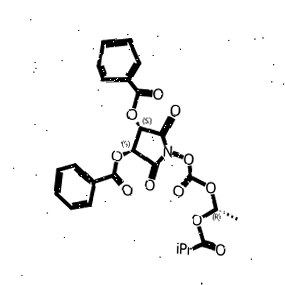 CC(C)C(=O)O[C@@H](C)OC(=O)ON1C(=O)[C@@H](OC(=O)c2ccccc2)[C@H](OC(=O)c2ccccc2)C1=O